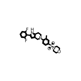 Cc1cc(S(=O)(=O)N2CCOCC2)ccc1N1CCc2[nH]c(-c3c(F)cccc3F)cc2C1